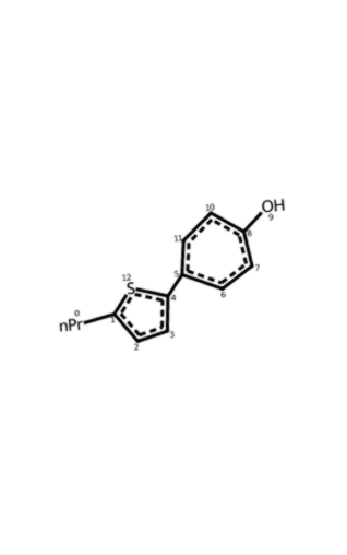 CCCc1ccc(-c2ccc(O)cc2)s1